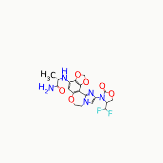 C[C@H](Nc1cc2c(c3c1OCO3)-c1nc(N3C(=O)OCC3C(F)F)cn1CCO2)C(N)=O